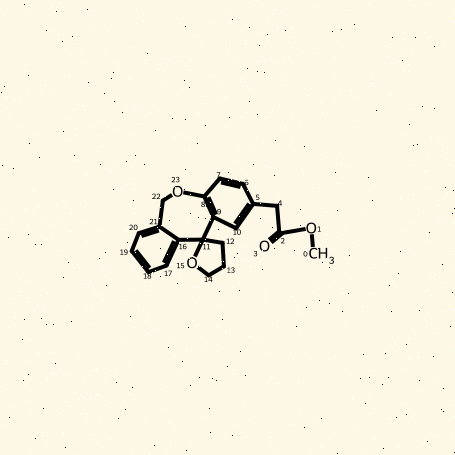 COC(=O)Cc1ccc2c(c1)C1(CCCO1)c1ccccc1CO2